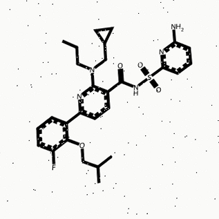 CCCN(CC1CC1)c1nc(-c2cccc(F)c2OCC(C)C)ccc1C(=O)NS(=O)(=O)c1cccc(N)n1